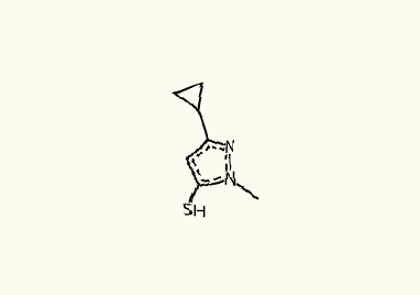 Cn1nc(C2CC2)cc1S